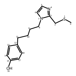 CSCc1nccn1CCCCc1ccc(O)cc1